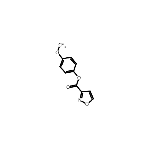 O=C(Oc1ccc(OC(F)(F)F)cc1)c1ccon1